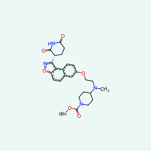 CN(CCOc1ccc2c(ccc3onc([C@H]4CCC(=O)NC4=O)c32)c1)C1CCN(C(=O)OC(C)(C)C)CC1